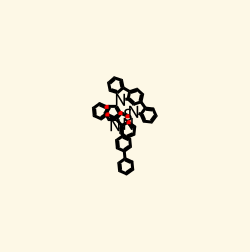 c1ccc(-c2ccc(-c3nc(-c4ccccc4)cc(-n4c5ccccc5c5ccc6c7ccccc7n(-c7cccc8c7sc7ccccc78)c6c54)n3)cc2)cc1